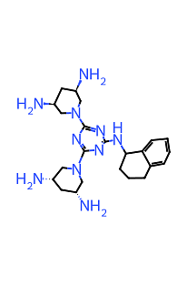 N[C@@H]1C[C@H](N)CN(c2nc(NC3CCCc4ccccc43)nc(N3C[C@H](N)C[C@H](N)C3)n2)C1